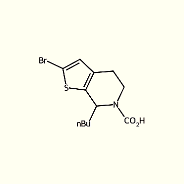 CCCCC1c2sc(Br)cc2CCN1C(=O)O